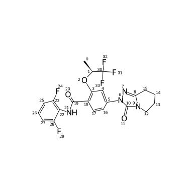 C[C@H](Oc1cc(-n2nc3n(c2=O)CCCC3)ccc1C(=O)Nc1c(F)cccc1F)C(F)(F)F